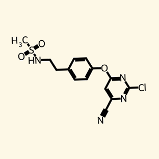 CS(=O)(=O)NCCc1ccc(Oc2cc(C#N)nc(Cl)n2)cc1